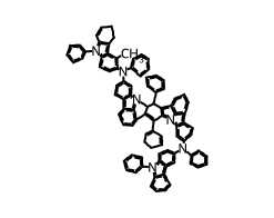 Cc1c(N(c2ccccc2)c2ccc3c4cccc5c4n(c3c2)C2C5=C(C3=CCCC=C3)c3c(c4cccc5c6ccc(N(c7ccccc7)c7ccc8c(c7)c7ccccc7n8-c7ccccc7)cc6n3c45)C2c2ccccc2)ccc2c1c1c(n2-c2ccccc2)C=CCC1